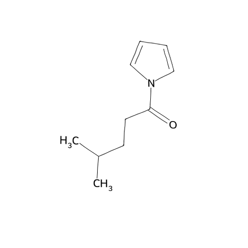 CC(C)CCC(=O)n1cccc1